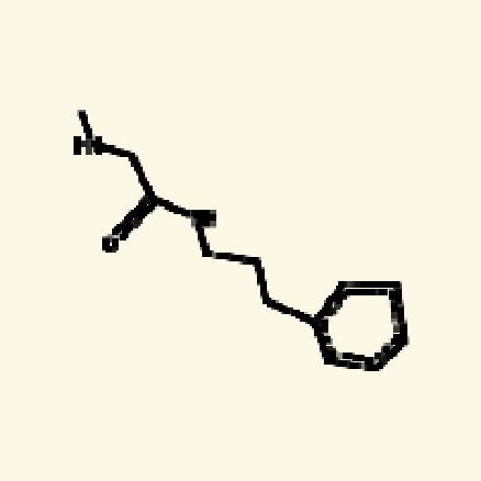 CNCC(=O)NCCCc1ccccc1